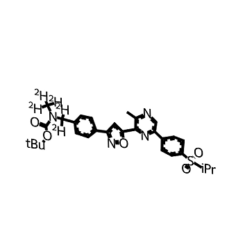 [2H]C([2H])([2H])N(C(=O)OC(C)(C)C)C([2H])([2H])c1ccc(-c2cc(-c3nc(-c4ccc(S(=O)(=O)C(C)C)cc4)cnc3C)on2)cc1